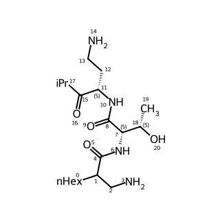 CCCCCCC(CN)C(=O)N[C@H](C(=O)N[C@@H](CCN)C(=O)C(C)C)[C@H](C)O